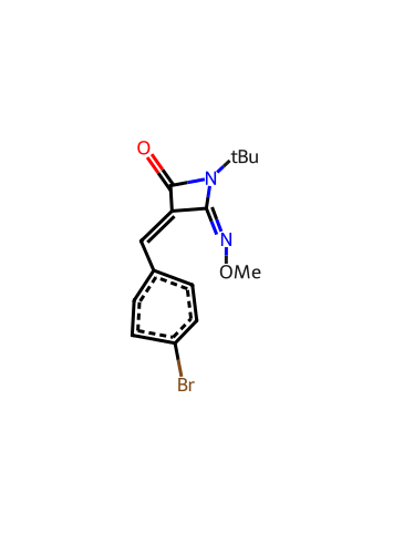 CO/N=C1\C(=C/c2ccc(Br)cc2)C(=O)N1C(C)(C)C